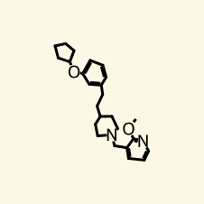 COc1ncccc1CN1CCC(CCc2cccc(OC3CCCC3)c2)CC1